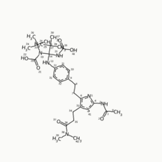 CC(=O)Nc1nc(CCc2ccc(NC(NC(=O)O)(N(C(=O)O)C(C)(C)C)C(C)(C)C)cc2)c(CCC(=O)N(C)C)s1